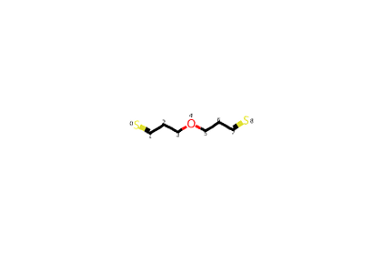 S=CCCOCCC=S